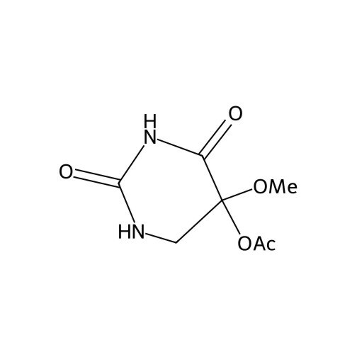 COC1(OC(C)=O)CNC(=O)NC1=O